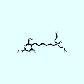 CCOOP(=O)(CCCCCCc1c(Cl)nc(OC)nc1OC)OOCC